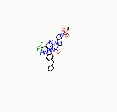 C=CC(=O)Nc1cc(CC2CCCC2)ccc1Nc1nc(NC2CCN(S(=O)(=O)C=C)C2)ncc1C(F)(F)F